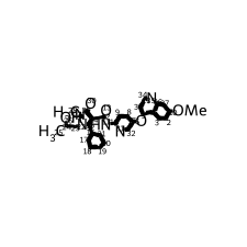 COc1ccc2c(Oc3ccc(NC(=O)c4c(-c5ccccc5)n(CC(C)O)n(C)c4=O)nc3)ccnc2c1